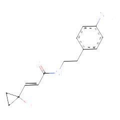 Nc1ccc(CCNC(=O)/C=C/C2(O)CC2)cc1